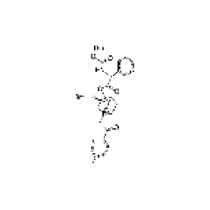 Cc1ccc(C(=O)C[N+]23CCC(CC2)[C@@H](OC(=O)C(NC(=O)OC(C)(C)C)c2ccccc2)C3)cc1.[Br-]